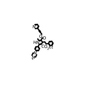 CCOC(=O)C1=C(c2ccc(N3CCN(C)CC3)cc2)NC(C)=C(C(=O)OCC#Cc2cccnc2)C1CCc1ccccc1